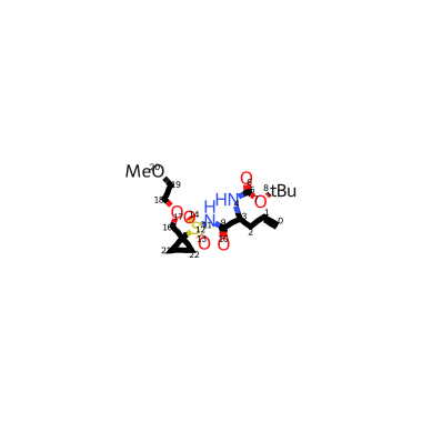 C=CCC(NC(=O)OC(C)(C)C)C(=O)NS(=O)(=O)C1(COCCOC)CC1